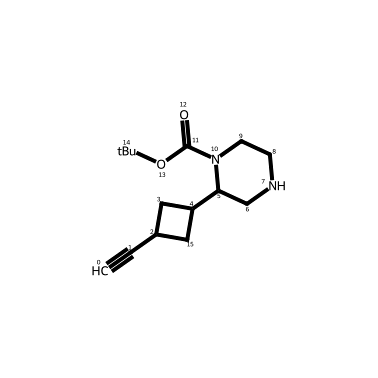 C#CC1CC(C2CNCCN2C(=O)OC(C)(C)C)C1